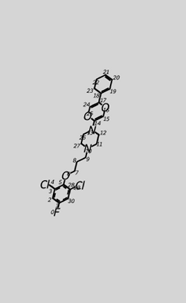 Fc1cc(Cl)c(OCCCN2CCN(C3=COC(C4=CC=CCC4)=CO3)CC2)c(Cl)c1